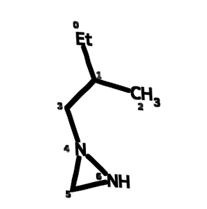 CCC(C)CN1CN1